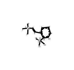 C[Si](C)(C)C=Cc1ccccc1[Si](C)(C)C